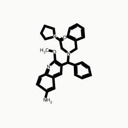 COc1nc2ccc(N)cc2cc1C(c1ccccc1)N(CC(=O)N1CCCC1)Cc1ccccc1